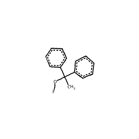 CC(OF)(c1ccccc1)c1ccccc1